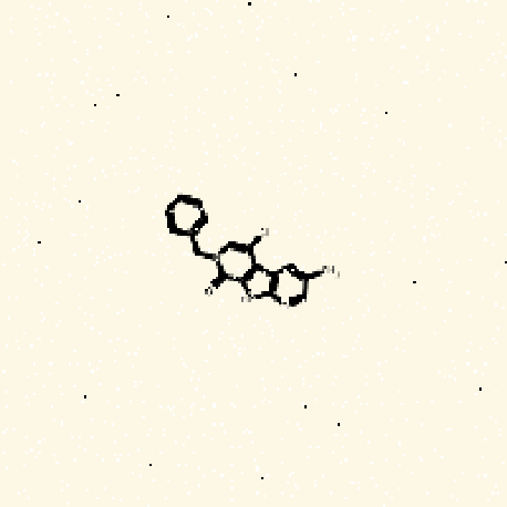 Cc1cnc2[nH]c3c(=O)n(Cc4ccccc4)cc(S)c3c2c1